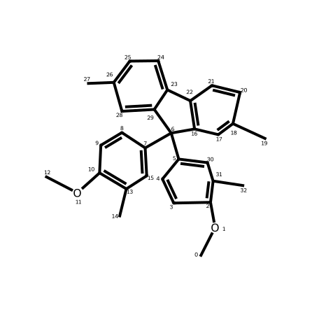 COc1ccc(C2(c3ccc(OC)c(C)c3)c3cc(C)ccc3-c3ccc(C)cc32)cc1C